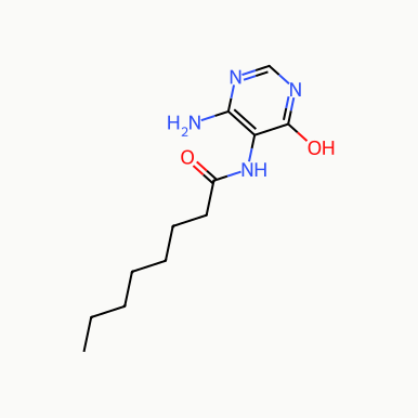 CCCCCCCC(=O)Nc1c(N)ncnc1O